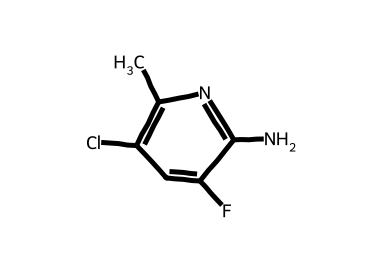 Cc1nc(N)c(F)cc1Cl